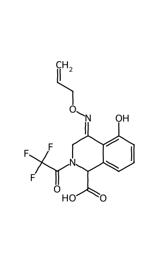 C=CCON=C1CN(C(=O)C(F)(F)F)C(C(=O)O)c2cccc(O)c21